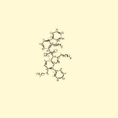 CCC1=Cc2c(ccc(CC)c2-c2ccccc2)[CH]1[Zr]([Cl])([Cl])[c]1cccc2c1[SiH2]c1ccccc1-2